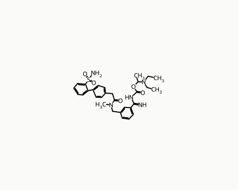 CCN(CC)C(C)OC(=O)NC(=N)c1cccc(CN(C)C(=O)Cc2ccc(-c3ccccc3S(N)(=O)=O)cc2)c1